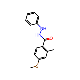 CSc1ccc(C(=O)NNc2ccccc2)c(C)c1